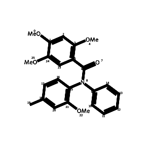 COc1cc(OC)c(C(=O)N(c2ccccc2)c2ccc(C)cc2OC)cc1OC